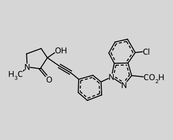 CN1CCC(O)(C#Cc2cccc(-n3nc(C(=O)O)c4c(Cl)cccc43)c2)C1=O